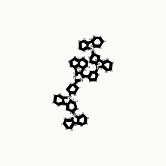 c1cc(-c2nc(-c3ccc(-n4c5ccccc5c5cc(-n6c7ccccc7c7ccccc76)ccc54)cc3)nc3c2-c2cccc4cccc-3c24)cc(-n2c3ccccc3c3cc(-n4c5ccccc5c5ccccc54)ccc32)c1